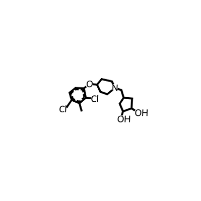 Cc1c(Cl)ccc(OC2CCN(CC3CC(O)C(O)C3)CC2)c1Cl